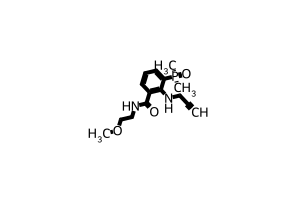 C#CCNc1c(C(=O)NCCOC)cccc1P(C)(C)=O